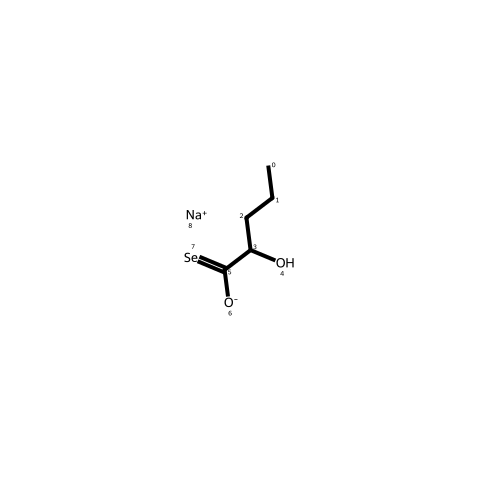 CCCC(O)C([O-])=[Se].[Na+]